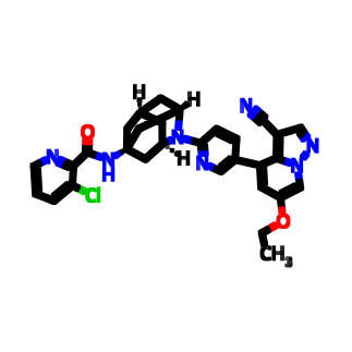 CCOc1cc(-c2ccc(N3[C@@H]4C[C@@H]5C[C@H]3C[C@@](NC(=O)c3ncccc3Cl)(C5)C4)nc2)c2c(C#N)cnn2c1